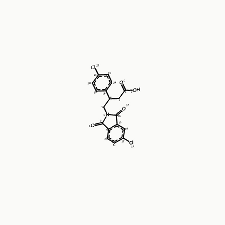 O=C(O)CC(CN1C(=O)c2ccc(Cl)cc2C1=O)c1ccc(Cl)cc1